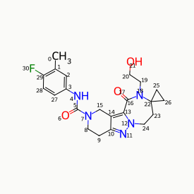 Cc1cc(NC(=O)N2CCc3nn4c(c3C2)C(=O)N(CCO)C2(CC4)CC2)ccc1F